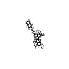 COc1cc(OC)c2c(=O)c(OCCCCCCOc3nc4ccccc4nc3C)c(-c3cc(OC)c(OC)c(OC)c3)oc2c1